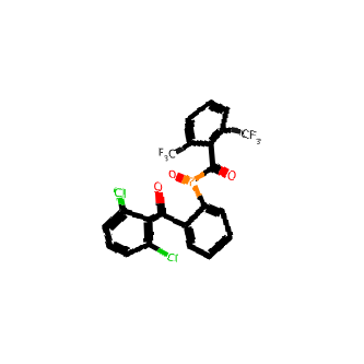 O=C(c1ccccc1[P](=O)C(=O)c1c(C(F)(F)F)cccc1C(F)(F)F)c1c(Cl)cccc1Cl